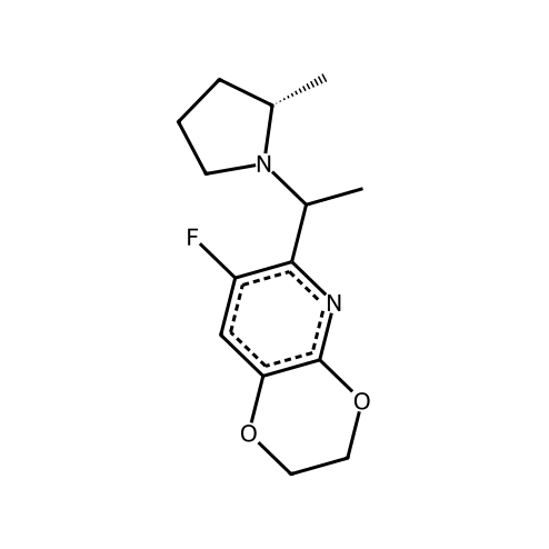 CC(c1nc2c(cc1F)OCCO2)N1CCC[C@@H]1C